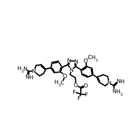 COc1cc(C2=CCN(C(=N)N)CC2)ccc1-c1nnc(-c2ccc(C3=CCN(C(=N)N)CC3)cc2OC)n1CCOC(=O)C(F)(F)F